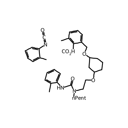 CCCCCN(CCOC1CCCC(OCc2cccc(C)c2C(=O)O)C1)C(=O)Nc1ccccc1C.Cc1ccccc1N=C=O